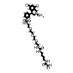 CCNC(=O)NCCCCNC(=O)NCCOCCOCCOCCNS(=O)(=O)c1cccc(C2CN(C)Cc3c(Cl)cc(Cl)cc32)c1